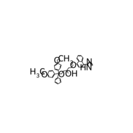 COc1ccc(C(OCC(O)CCOc2ccc(-c3ncc[nH]3)c3ccccc23)(c2ccccc2)c2ccc(OC)cc2)cc1